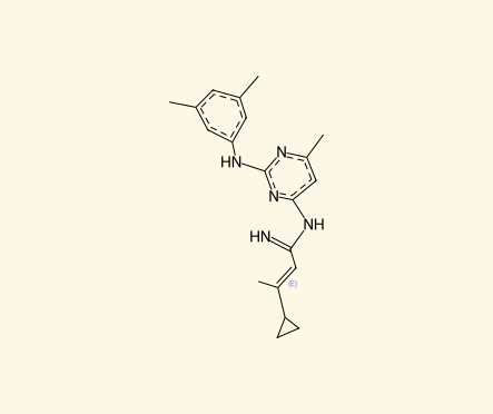 C/C(=C\C(=N)Nc1cc(C)nc(Nc2cc(C)cc(C)c2)n1)C1CC1